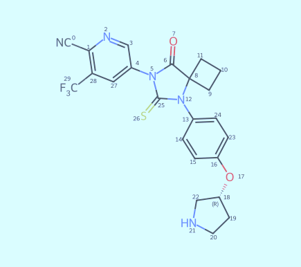 N#Cc1ncc(N2C(=O)C3(CCC3)N(c3ccc(O[C@@H]4CCNC4)cc3)C2=S)cc1C(F)(F)F